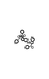 O=C(c1ccncc1)c1cc2ccncc2[nH]1.O=S(=O)(c1ccccc1)n1c(C(O)c2ccncc2)cc2ccncc21